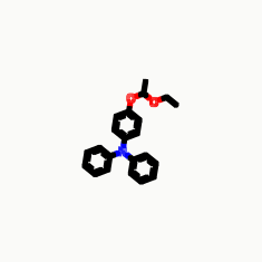 CCOC(C)Oc1ccc(N(c2ccccc2)c2ccccc2)cc1